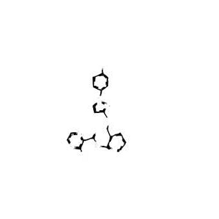 O=C(Nc1ccccc1COc1ccn(-c2ccc(Cl)cc2)n1)c1nccnc1C(F)(F)F